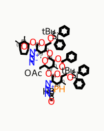 CC(=O)OCC1O[C@@H](O[C@@H]2C(CO[Si](c3ccccc3)(c3ccccc3)C(C)(C)C)O[C@@H](OC3C4CCC(O4)[C@@H](C)[C@H]3C)C(N=[N+]=[N-])[C@H]2C)C(OC(=O)c2ccccc2)[C@@H](C)[C@@H]1O[C@@H]1OC(CO[Si](c2ccccc2)(c2ccccc2)C(C)(C)C)[C@@H](C)[C@H](PBB=O)C1N=[N+]=[N-]